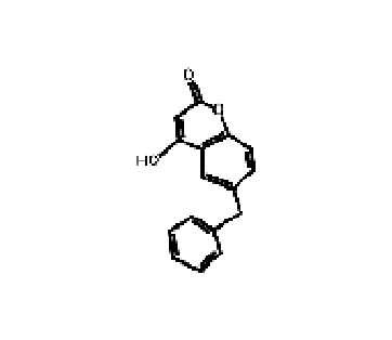 O=c1cc(O)c2cc(Cc3ccccc3)ccc2o1